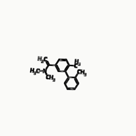 C=C(c1ccc(C)c(-c2ccccc2C)c1)N(C)C